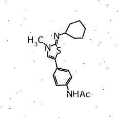 CC(=O)Nc1ccc(-c2cn(C)c(=NC3CCCCC3)s2)cc1